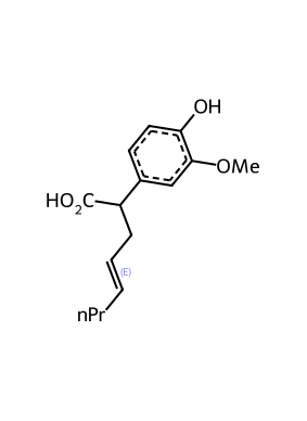 CCC/C=C/CC(C(=O)O)c1ccc(O)c(OC)c1